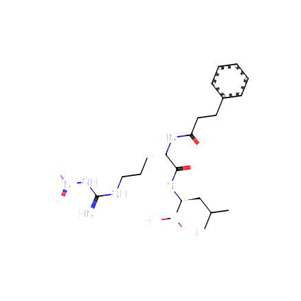 CC(C)C[C@H](NC(=O)[C@H](CCCNC(=N)N[N+](=O)[O-])NC(=O)CCc1ccccc1)B(O)O